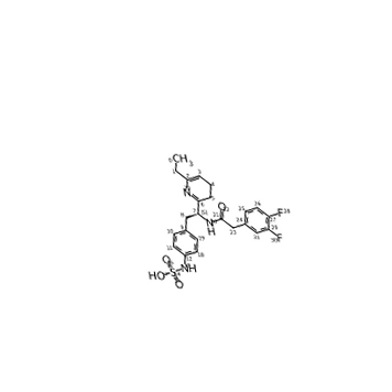 CCC1=CCCC([C@H](Cc2ccc(NS(=O)(=O)O)cc2)NC(=O)Cc2ccc(F)c(F)c2)=N1